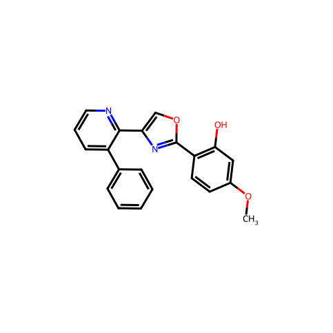 COc1ccc(-c2nc(-c3ncccc3-c3ccccc3)co2)c(O)c1